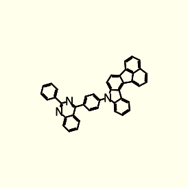 c1ccc(-c2nc(-c3ccc(-n4c5ccccc5c5c6c(ccc54)-c4cccc5cccc-6c45)cc3)c3ccccc3n2)cc1